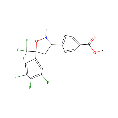 COC(=O)c1ccc(C2CC(c3cc(F)c(F)c(F)c3)(C(F)(F)F)ON2C)cc1